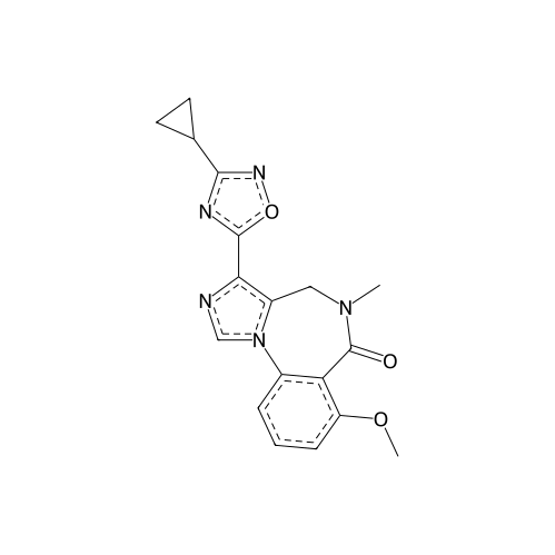 COc1cccc2c1C(=O)N(C)Cc1c(-c3nc(C4CC4)no3)ncn1-2